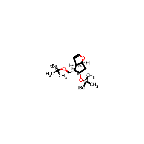 CC(C)(C)[Si](C)(C)OC[C@@H]1[C@H]2C=CO[C@H]2C[C@H]1O[Si](C)(C)C(C)(C)C